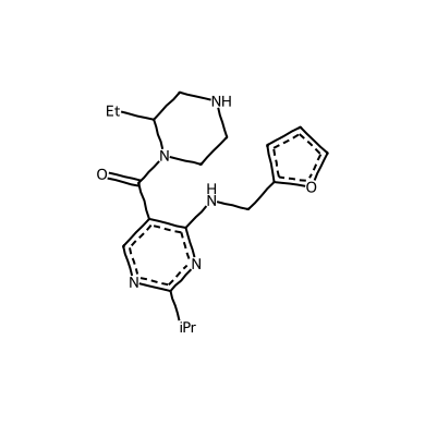 CCC1CNCCN1C(=O)c1cnc(C(C)C)nc1NCc1ccco1